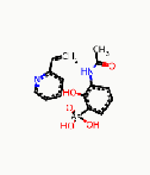 C=Cc1ccccn1.CC(=O)Nc1cccc([As](=O)(O)O)c1O